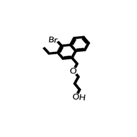 CCc1cc(COCCCO)c2ccccc2c1Br